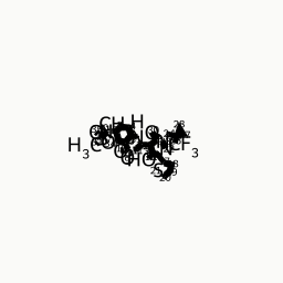 CN(c1ccc2c(c1)S(=O)(=O)C=C(c1c(O)c(-c3cccs3)nn(CC3(C(F)(F)F)CC3)c1=O)N2)S(C)(=O)=O